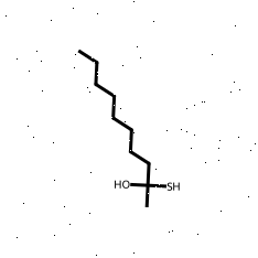 CCCCCCCCC(C)(O)S